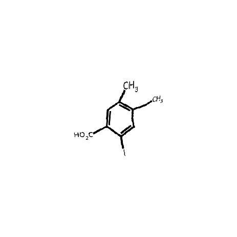 Cc1cc(I)c(C(=O)O)cc1C